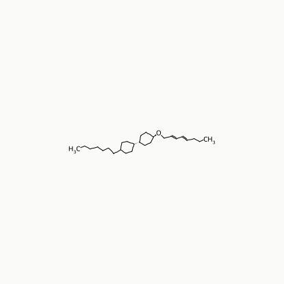 CCC/C=C/C=C/CO[C@H]1CC[C@H](C2CCC(CCCCCCC)CC2)CC1